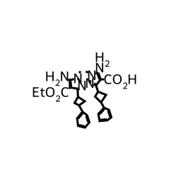 CCOC(=O)c1c(C2CC(c3ccccc3)C2)nn(C)c1N.Cn1nc(C2CC(c3ccccc3)C2)c(C(=O)O)c1N